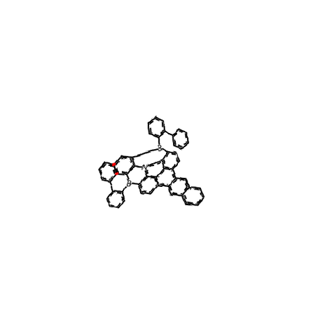 c1ccc(-c2ccccc2B2c3cccc4c3-n3c5c2ccc2c6cc7ccccc7cc6c6ccc(c3c6c25)B4c2ccccc2-c2ccccc2)cc1